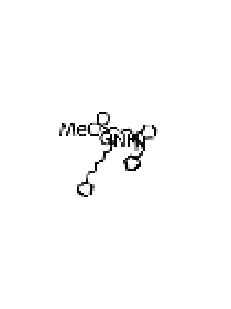 COC(=O)CC[C@@H](Cc1cn(Cc2ccccc2)c2ccccc12)NC(=O)CCCCCCc1ccccc1